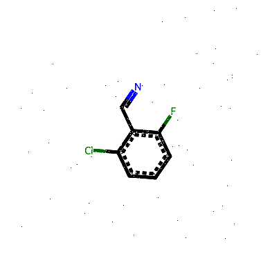 [N]=Cc1c(F)cccc1Cl